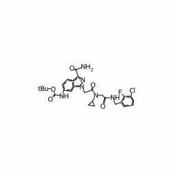 CC(C)(C)OC(=O)Nc1ccc2c(C(N)=O)nn(CC(=O)N(CC(=O)NCc3cccc(Cl)c3F)C3CC3)c2c1